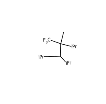 CC(C)C(C(C)C)C(C)(C(C)C)C(F)(F)F